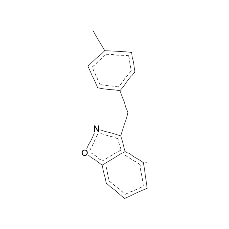 Cc1ccc(Cc2noc3ccc[c]c23)cc1